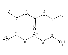 CCOC(=O)OCC.OCCOCCO